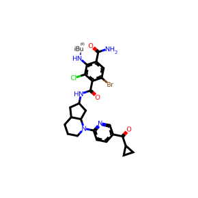 CC[C@@H](C)Nc1c(C(N)=O)cc(Br)c(C(=O)NC2CC3CCCN(c4ccc(C(=O)C5CC5)cn4)C3C2)c1Cl